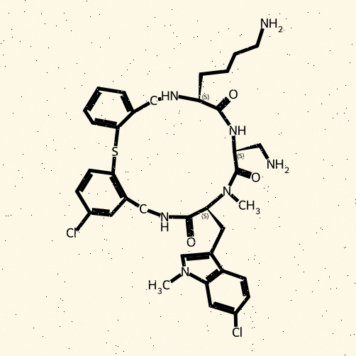 CN1C(=O)[C@H](CN)NC(=O)[C@H](CCCCN)NCc2ccccc2Sc2ccc(Cl)cc2CNC(=O)[C@@H]1Cc1cn(C)c2cc(Cl)ccc12